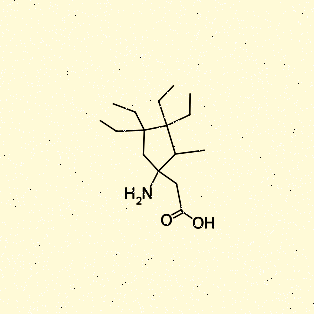 CCC1(CC)CC(N)(CC(=O)O)C(C)C1(CC)CC